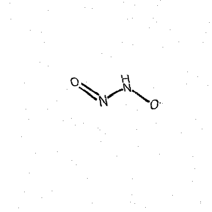 [O]NN=O